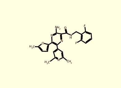 Cc1cc(-c2nc(C(=O)NCc3c(F)cccc3F)c(N)nc2-c2ccc(C)o2)cc(C)n1